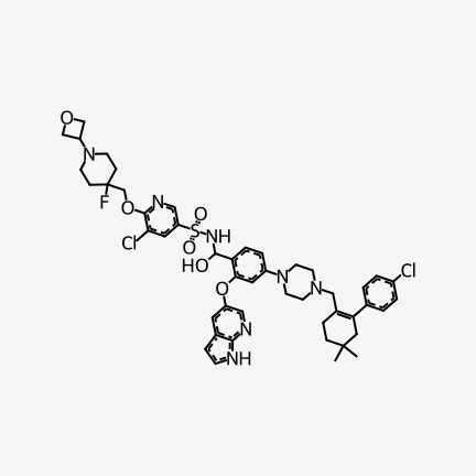 CC1(C)CCC(CN2CCN(c3ccc(C(O)NS(=O)(=O)c4cnc(OCC5(F)CCN(C6COC6)CC5)c(Cl)c4)c(Oc4cnc5[nH]ccc5c4)c3)CC2)=C(c2ccc(Cl)cc2)C1